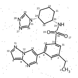 CCc1cc(-c2cnc3ccnn3c2)cc(S(=O)(=O)N[C@H]2CCC[C@@H](n3cnnc3)C2)c1